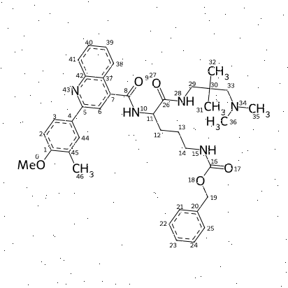 COc1ccc(-c2cc(C(=O)NC(CCCNC(=O)OCc3ccccc3)C(=O)NCC(C)(C)CN(C)C)c3ccccc3n2)cc1C